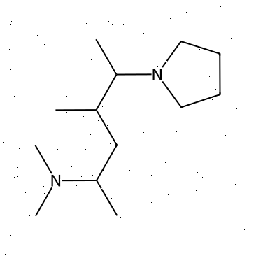 CC(CC(C)N(C)C)C(C)N1CCCC1